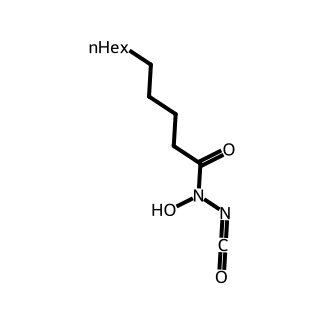 CCCCCCCCCCC(=O)N(O)N=C=O